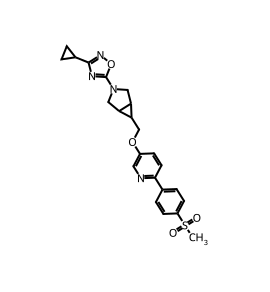 CS(=O)(=O)c1ccc(-c2ccc(OCC3C4CN(c5nc(C6CC6)no5)CC34)cn2)cc1